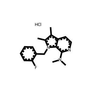 Cc1c(C)n(Cc2ccccc2F)c2c(N(C)C)nccc12.Cl